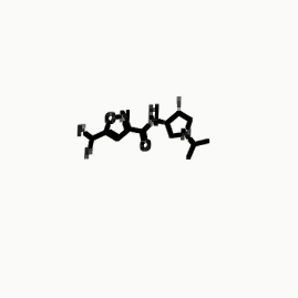 CC(C)N1C[C@@H](C)[C@H](NC(=O)c2cc(C(F)F)on2)C1